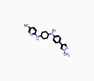 CC(=O)N(c1ccc(-c2cnn(C)c2)cc1)C1CCC(Nc2ccc(C#N)cn2)CC1